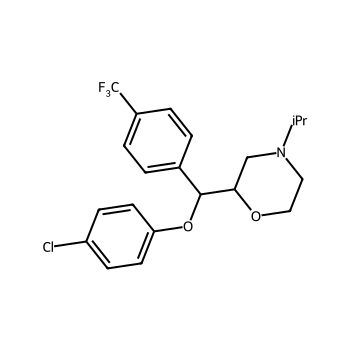 CC(C)N1CCOC(C(Oc2ccc(Cl)cc2)c2ccc(C(F)(F)F)cc2)C1